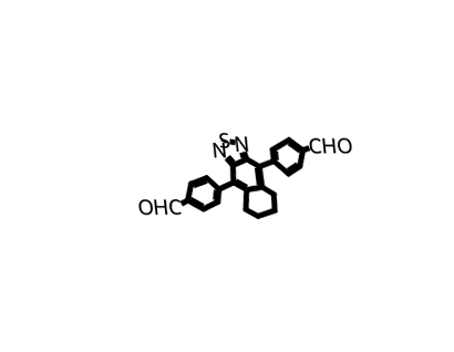 O=Cc1ccc(-c2c3c(c(-c4ccc(C=O)cc4)c4nsnc24)CCCC3)cc1